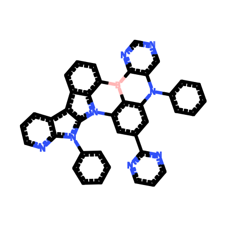 c1ccc(N2c3cncnc3B3c4c2cc(-c2ncccn2)cc4-n2c4c3cccc4c3c4cccnc4n(-c4ccccc4)c32)cc1